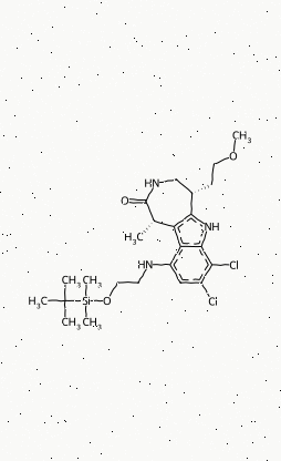 COCC[C@H]1CNC(=O)[C@@H](C)c2c1[nH]c1c(Cl)c(Cl)cc(NCCO[Si](C)(C)C(C)(C)C)c21